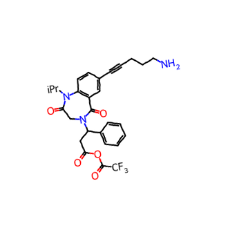 CC(C)N1C(=O)CN(C(CC(=O)OC(=O)C(F)(F)F)c2ccccc2)C(=O)c2cc(C#CCCCN)ccc21